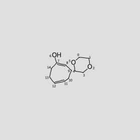 C1COCCO1.OC1=CCCC=CCC1